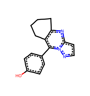 Oc1ccc(-c2c3c(nc4ccnn24)CCCC3)cc1